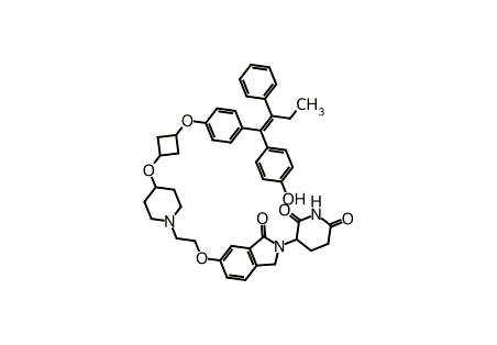 CCC(=C(c1ccc(O)cc1)c1ccc(OC2CC(OC3CCN(CCOc4ccc5c(c4)C(=O)N(C4CCC(=O)NC4=O)C5)CC3)C2)cc1)c1ccccc1